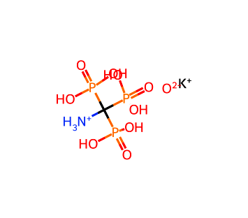 [K+].[NH3+]C(P(=O)(O)O)(P(=O)(O)O)P(=O)(O)O.[O-2]